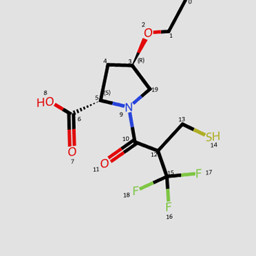 CCO[C@@H]1C[C@@H](C(=O)O)N(C(=O)C(CS)C(F)(F)F)C1